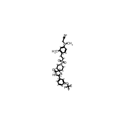 Cc1cc(N(C)CC#N)ccc1CCS(=O)(=O)N1CCC2(CC1)N=C(c1cccc(OC(F)(F)F)c1)NC2=O